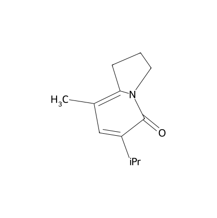 Cc1cc(C(C)C)c(=O)n2c1CCC2